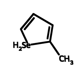 CC1=CC=C[SeH2]1